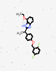 CCOc1cccc2nc(C(C)c3ccc(OCc4cc(F)ccc4F)cc3)[nH]c12